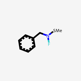 CSN(F)Cc1ccccc1